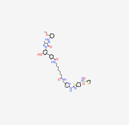 CCOc1ccccc1N/N=C1/C(=O)N(c2cc(O)cc(-c3ccc(C(=O)NCCCCCCCC(=O)NCc4ccc(Nc5nc6ccc(NS(=O)(=O)c7cccs7)cc6s5)nc4)cc3)c2)N=C1C